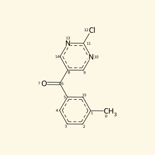 Cc1cccc(C(=O)c2cnc(Cl)nc2)c1